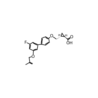 C=C(C)COc1cc(F)cc(-c2ccc(OC[C@@H]3C[C@H]3C(=O)O)cc2)c1